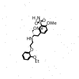 CCOc1ccccc1OCCN[C@H](COC)Cc1ccc(OC)c(S(N)(=O)=O)c1